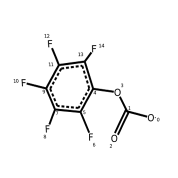 [O]C(=O)Oc1c(F)c(F)c(F)c(F)c1F